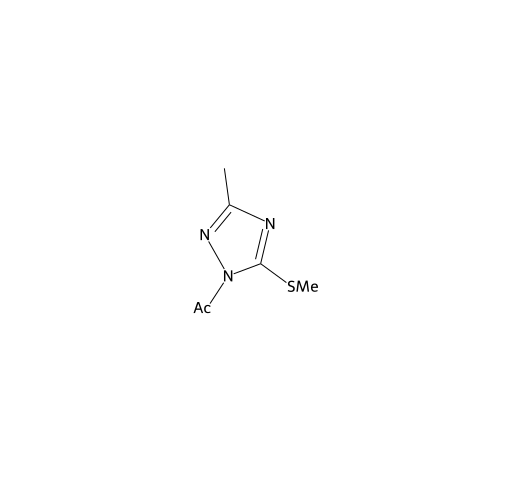 CSc1nc(C)nn1C(C)=O